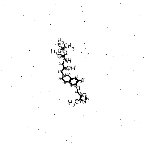 Cc1ncoc1COc1cc2c(cc1F)CN(CC(O)CNC(=O)OC(C)(C)C)CC2